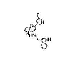 Fc1cncc(-c2cc(NCCc3c[nH]c4ccccc34)n3nccc3n2)c1